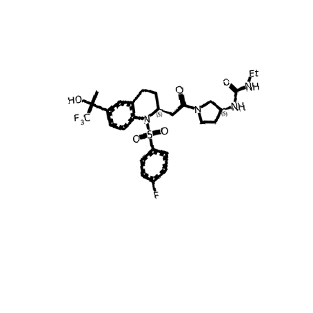 CCNC(=O)N[C@H]1CCN(C(=O)C[C@@H]2CCc3cc(C(C)(O)C(F)(F)F)ccc3N2S(=O)(=O)c2ccc(F)cc2)C1